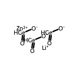 [Li+].[O]=[GeH][O-].[O]=[GeH][O-].[O]=[GeH][O-].[Zn+2]